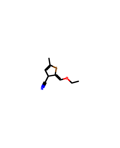 CCOC=C1SC(C)=CC1C#N